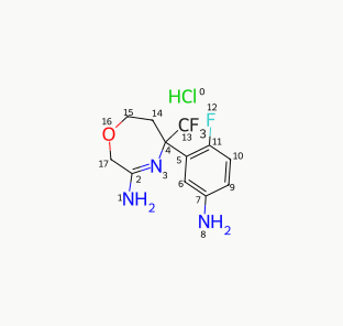 Cl.NC1=NC(c2cc(N)ccc2F)(C(F)(F)F)CCOC1